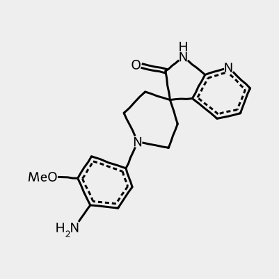 COc1cc(N2CCC3(CC2)C(=O)Nc2ncccc23)ccc1N